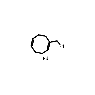 ClCC1=CCCC=CCC1.[Pd]